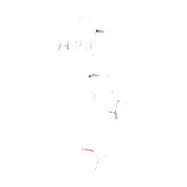 CC(C)C(=O)CCN(CCSC(=O)CC[C@H](N)C(=O)O)C(=O)C(C)C